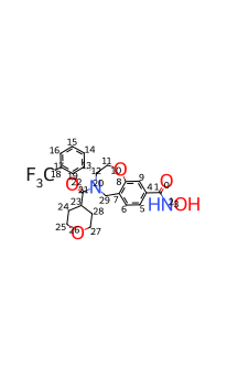 O=C(NO)c1ccc2c(c1)OC[C@@H](c1cccc(C(F)(F)F)c1)N(C(=O)C1CCOCC1)C2